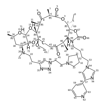 CC[C@H]1OC(=O)[C@H](C)C(=O)[C@H](C)[C@H]2O[C@@H]3O[C@H](C)C[C@H](N(C)CCc4cn(CCN5CCCC5)nn4)[C@H]3O[C@@]2(OC)C[C@@H](C)C(=O)[C@H](C)[C@H]2N(CCCCn3cnc(-c4cccnc4)c3)C(=O)O[C@]12C